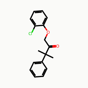 CC(C)(C(=O)COc1ccccc1Cl)c1ccccc1